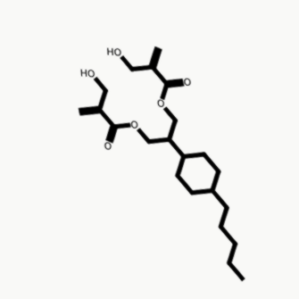 C=C(CO)C(=O)OCC(COC(=O)C(=C)CO)C1CCC(CCCCC)CC1